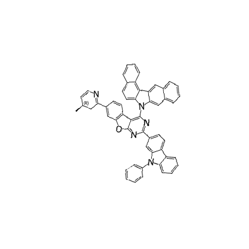 C[C@H]1C=CN=C(c2ccc3c(c2)oc2nc(-c4ccc5c6ccccc6n(-c6ccccc6)c5c4)nc(-n4c5cc6ccccc6cc5c5c6ccccc6ccc54)c23)C1